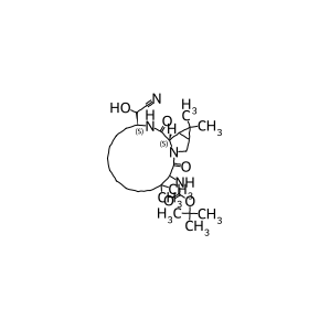 CC(C)(C)OC(=O)NC1C(=O)N2CC3C([C@H]2C(=O)N[C@H](C(O)C#N)CCCCCCCCCC1(C)C)C3(C)C